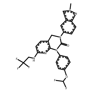 Cn1cc2cc(N3Cc4ccc(NCC(F)(F)F)nc4N(c4ccc(OC(F)F)cc4)C3=O)ccc2n1